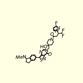 CNC1CCc2cc(-c3snc4c(=O)n(CC5(O)CCN(C(=O)CC(C(F)F)n6ccc(F)n6)CC5)cnc34)ccc21